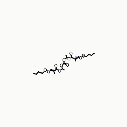 CCCCOO/C=C(\C)C(=O)OC(C)OC(=O)OC(C)OC(=O)/C(C)=C/OOCCCC